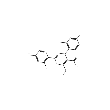 O=C(O)C1=C(CBr)NC(c2ncc(F)cc2F)=NC1c1ccc(F)cc1Cl